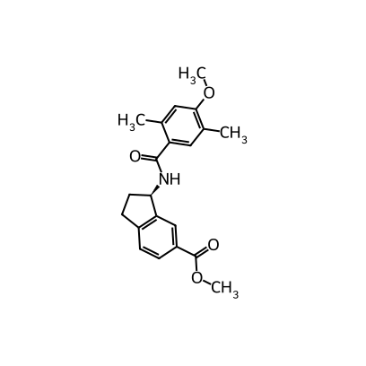 COC(=O)c1ccc2c(c1)[C@H](NC(=O)c1cc(C)c(OC)cc1C)CC2